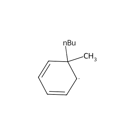 CCCCC1(C)[CH]C=CC=C1